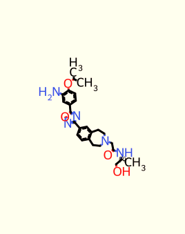 CC(C)Oc1ccc(-c2nc(-c3ccc4c(c3)CCN(CC(=O)N[C@H](C)CO)CC4)no2)cc1N